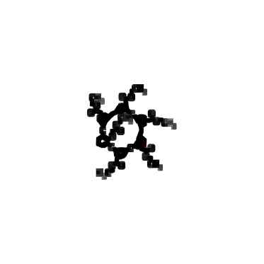 CCOC(=O)COc1c2cccc1Cc1cccc(c1OCC(=O)OCC)Cc1cccc(c1OCC(=O)OCC)Cc1cccc(c1OCC(=O)OCC)Cc1cccc(c1OCC(=O)OCC)Cc1cccc(c1OCC(=O)OCC)C2